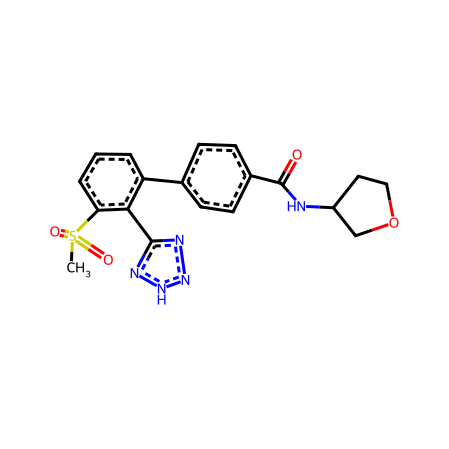 CS(=O)(=O)c1cccc(-c2ccc(C(=O)NC3CCOC3)cc2)c1-c1nn[nH]n1